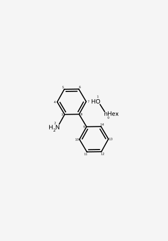 CCCCCCO.Nc1ccccc1-c1ccccc1